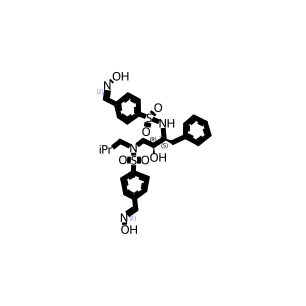 CC(C)CN(C[C@@H](O)[C@H](Cc1ccccc1)NS(=O)(=O)c1ccc(/C=N\O)cc1)S(=O)(=O)c1ccc(/C=N/O)cc1